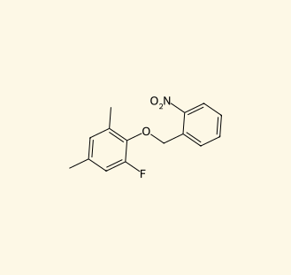 Cc1cc(C)c(OCc2ccccc2[N+](=O)[O-])c(F)c1